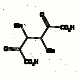 CC(C)(C)C(C(=O)C(=O)O)C(C(=O)C(=O)O)C(C)(C)C